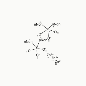 CCCCCCCCCP([O-])([O-])([O-])CCCCCCCCC.CCCCCCCCCP([O-])([O-])([O-])CCCCCCCCC.[Zn+2].[Zn+2].[Zn+2]